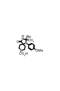 COc1ccc(N2C3(CCN(C(=O)O)CC3)C(=O)NC2(C)C(C)(C)C)cc1